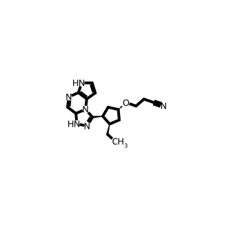 CC[C@@H]1C[C@@H](OCCC#N)C[C@@H]1C1=NNC2C=Nc3[nH]ccc3N12